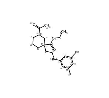 CCOC(=O)[C@]1(CCNc2cc(F)cc(F)c2)CCC[C@@H](C(C)=O)C1